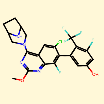 COc1nc(N2CC3CCC(C2)N3)c2cc(Cl)c(-c3cc(O)cc(F)c3C(F)(F)F)c(F)c2n1